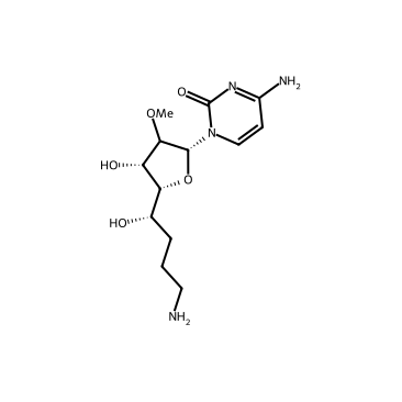 COC1[C@@H](O)[C@@H]([C@@H](O)CCCN)O[C@H]1n1ccc(N)nc1=O